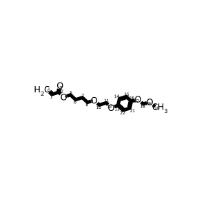 C=CC(=O)OCCCCOCCOc1ccc(OCOC)cc1